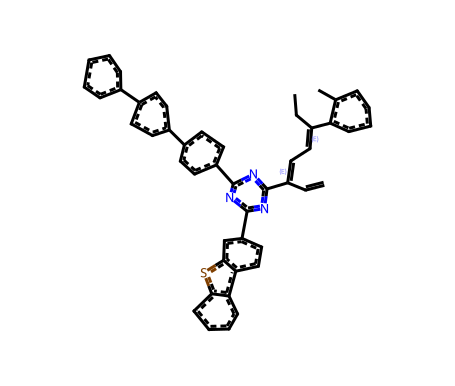 C=C/C(=C\C=C(/CC)c1ccccc1C)c1nc(-c2ccc(-c3ccc(-c4ccccc4)cc3)cc2)nc(-c2ccc3c(c2)sc2ccccc23)n1